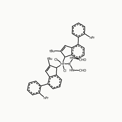 CCCc1ccccc1-c1cccc2c1C=C(C(C)(C)C)[CH]2[Hf]([Cl])([Cl])([B](NC=O)NC=O)[CH]1C(C(C)(C)C)=Cc2c(-c3ccccc3CCC)cccc21